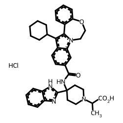 CC(C(=O)O)N1CCC(NC(=O)c2ccc3c(C4CCCCC4)c4n(c3c2)CCOc2ccccc2-4)(c2nc3ccccc3[nH]2)CC1.Cl